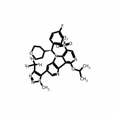 [2H]C([2H])([2H])c1nnn(C)c1-c1cnc2c3c(OC(C)C)ncc(S(C)(=O)=O)c3n([C@H](c3ccc(F)cc3)C3CCOCC3)c2c1